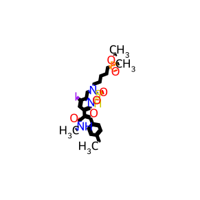 CCOP(C)(=O)CCCCCN(Cc1nc2oc(-c3ccc(CC)cc3)c(C(=O)NC)c2cc1I)[SH](=O)=O